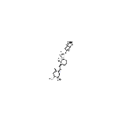 C=C1CC(O)[C@H](O)C/C1=C/C=C1CCC[C@@]2(C)C1CC[C@@H]2[C@H](C)CC1CC(C)(O)C(=O)O1